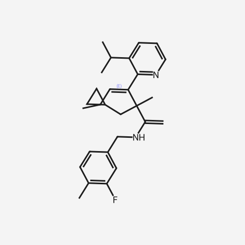 C=C(NCc1ccc(C)c(F)c1)C(C)(CC1CC1)/C(=C\CC)c1ncccc1C(C)C